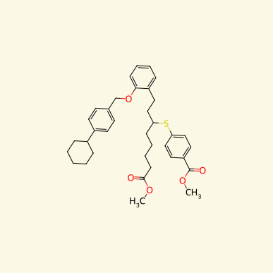 COC(=O)CCCCC(CCc1ccccc1OCc1ccc(C2CCCCC2)cc1)Sc1ccc(C(=O)OC)cc1